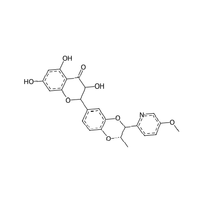 COc1ccc(C2Oc3cc(C4Oc5cc(O)cc(O)c5C(=O)C4O)ccc3OC2C)nc1